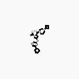 CC(=O)N1CC(OC2=COC=C(C3=CC=CCC3)O2)CC1C(=O)N1CCCN(C2CCC2)CC1